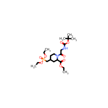 CCOC(=O)C1CC(CP(=O)(OCC)OCC)CCN1C(=O)CNC(=O)OC(C)(C)C